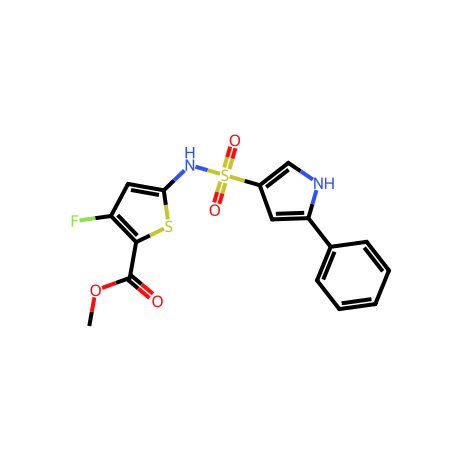 COC(=O)c1sc(NS(=O)(=O)c2c[nH]c(-c3ccccc3)c2)cc1F